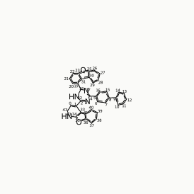 C1=C(C2=NC(c3ccc(-c4ccccc4)cc3)=NC(c3cccc4oc5ccccc5c34)N2)c2c(oc3ccccc23)NC1